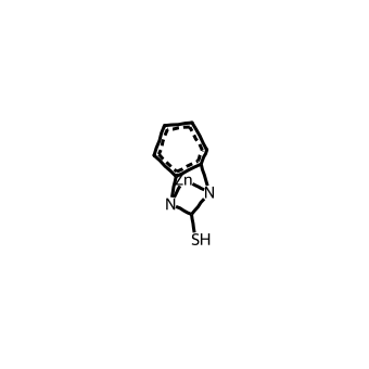 SC1[N]2[Zn][N]1c1ccccc12